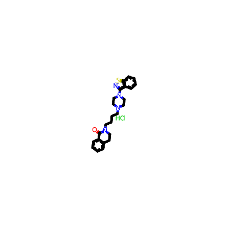 Cl.O=C1c2ccccc2CCN1CCCCN1CCN(c2nsc3ccccc23)CC1